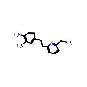 CCc1cccc(CCc2ccc(N)c(C)c2)n1